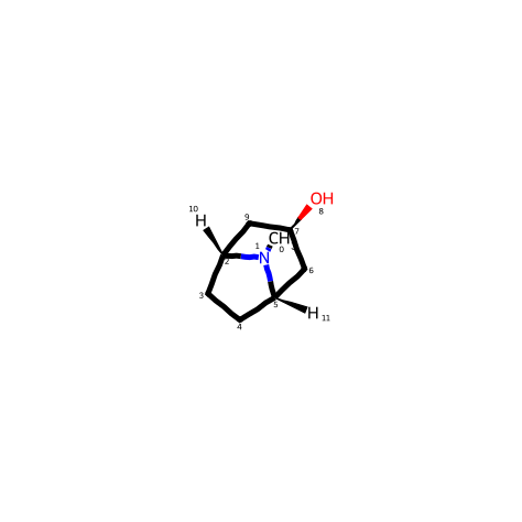 CN1[C@@H]2CC[C@H]1C[C@H](O)C2